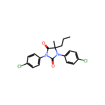 CCCC1(C)C(=O)N(c2ccc(Cl)cc2)C(=O)N1c1ccc(Cl)cc1